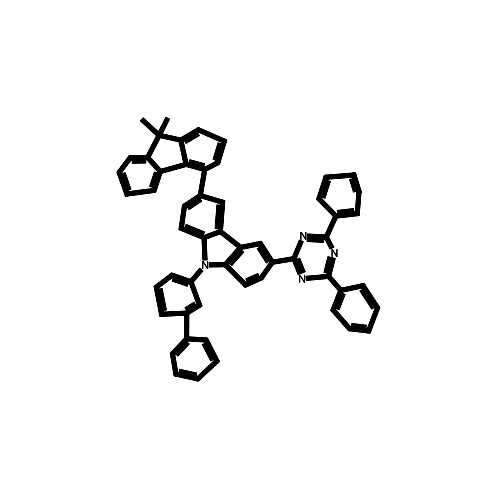 CC1(C)c2ccccc2-c2c(-c3ccc4c(c3)c3cc(-c5nc(-c6ccccc6)nc(-c6ccccc6)n5)ccc3n4-c3cccc(-c4ccccc4)c3)cccc21